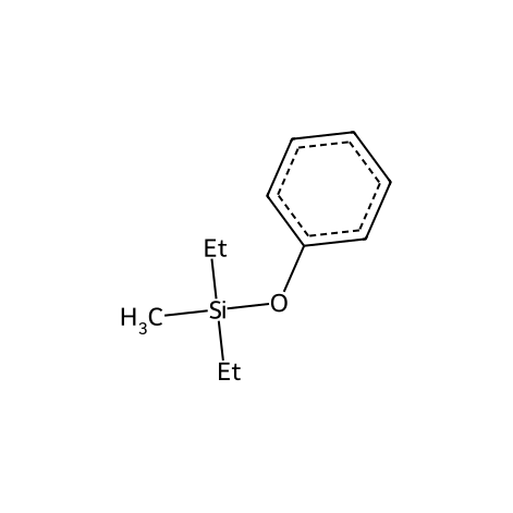 CC[Si](C)(CC)Oc1ccccc1